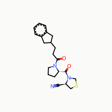 N#C[C@@H]1CSCN1C(=O)[C@@H]1CCCN1C(=O)CCC1Cc2ccccc2C1